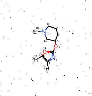 [2H]c1nc(OC2CCCN(CC)C2)oc1[2H]